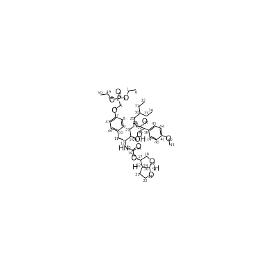 CCOP(=O)(COc1ccc(C[C@H](NC(=O)O[C@H]2CO[C@H]3OCC[C@H]32)[C@H](O)CN(CC(CC)CC)S(=O)(=O)c2ccc(OC)cc2)cc1)OCC